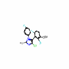 COc1ccc(F)c(-c2c(Cl)nc(C)n2-c2ccc(F)cc2)c1F